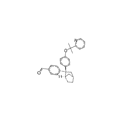 CC(C)(Oc1ccc([C@@]2(c3ccc(C=O)cc3)CC3CC[C@@H]2C3)cc1)c1ccccn1